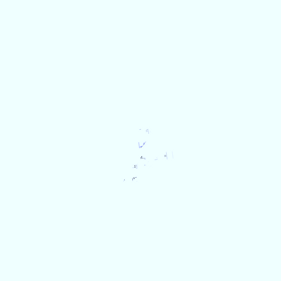 CC1C(=O)[C@]2(C)CC[C@H](O)[C@@H](/C=C/[C@H](O)CC3CCCCC3)[C@H]12